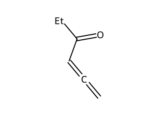 C=C=CC(=O)CC